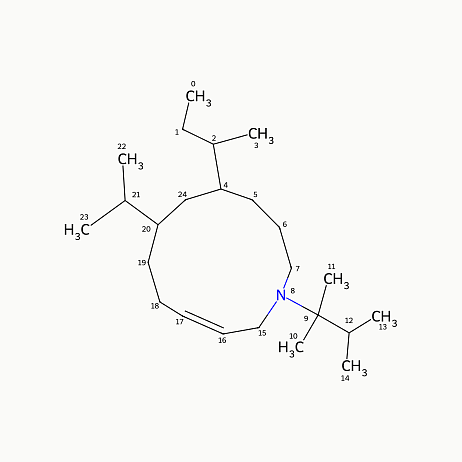 CCC(C)C1CCCN(C(C)(C)C(C)C)CC=CCCC(C(C)C)C1